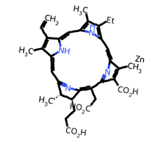 C=Cc1c(C)c2cc3nc(c(CC(=O)O)c4nc(cc5[nH]c(cc1[nH]2)c(C)c5CC)C(C)=C4C(=O)O)[C@@H](CCC(=O)O)[C@@H]3C.[Zn]